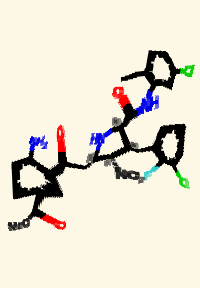 COC(=O)c1ccc(N)c(C(=O)C[C@@H]2N[C@@H](C(=O)Nc3cc(Cl)ccc3C)[C@@H](c3cccc(Cl)c3F)[C@@H]2[N+](=O)[O-])c1